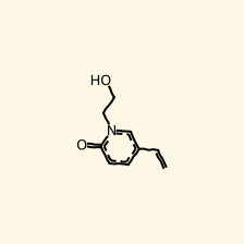 C=Cc1ccc(=O)n(CCO)c1